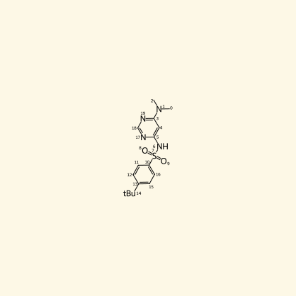 CN(C)c1cc(NS(=O)(=O)c2ccc(C(C)(C)C)cc2)ncn1